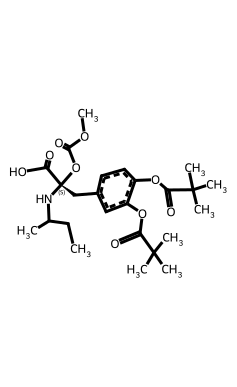 CCC(C)N[C@@](Cc1ccc(OC(=O)C(C)(C)C)c(OC(=O)C(C)(C)C)c1)(OC(=O)OC)C(=O)O